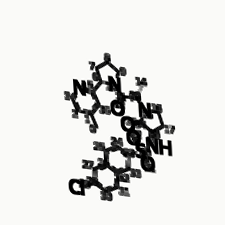 Cc1ccnc(C2CCCN2C(=O)[C@H](C)N2CC[C@H](NS(=O)(=O)c3ccc4cc(Cl)ccc4c3)C2=O)c1